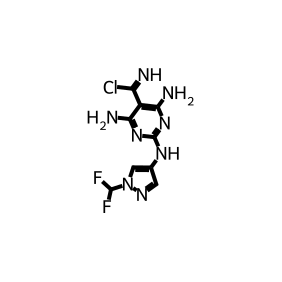 N=C(Cl)c1c(N)nc(Nc2cnn(C(F)F)c2)nc1N